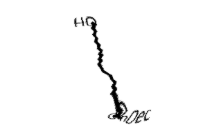 CCCCCCCCCCCC(=O)OCCCCCCCCCCCCCCCCCCCCCCCCO